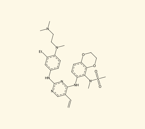 C=Cc1cnc(Nc2ccc(N(C)CCN(C)C)c(CC)c2)nc1Nc1ccc2c(c1N(C)S(C)(=O)=O)OCCO2